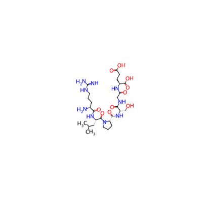 CC(C)C[C@H](NC(=O)[C@@H](N)CCCNC(=N)N)C(=O)N1CCC[C@H]1C(=O)N[C@@H](CO)C(=O)NCC(=O)N[C@@H](CCC(=O)O)C(=O)O